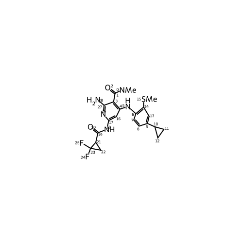 CNC(=O)c1c(Nc2ccc(C3CC3)cc2SC)cc(NC(=O)C2CC2(F)F)nc1N